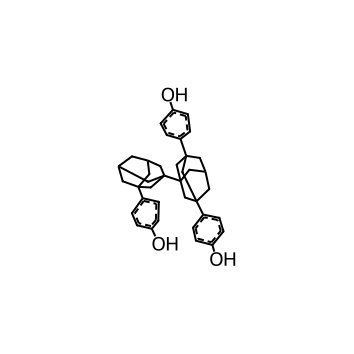 Oc1ccc(C23CC4CC(C2)CC(C25CC6CC(c7ccc(O)cc7)(CC(c7ccc(O)cc7)(C6)C2)C5)(C4)C3)cc1